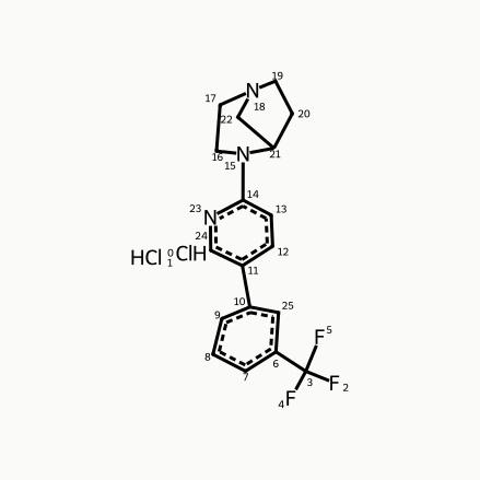 Cl.Cl.FC(F)(F)c1cccc(-c2ccc(N3CCN4CCC3C4)nc2)c1